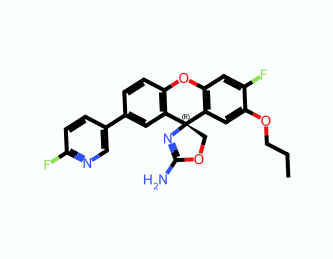 CCCOc1cc2c(cc1F)Oc1ccc(-c3ccc(F)nc3)cc1[C@]21COC(N)=N1